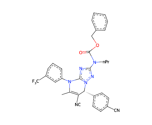 [C-]#[N+]C1=C(C)N(c2cccc(C(F)(F)F)c2)c2nc(N(CCC)C(=O)OCc3ccccc3)nn2[C@@H]1c1ccc(C#N)cc1